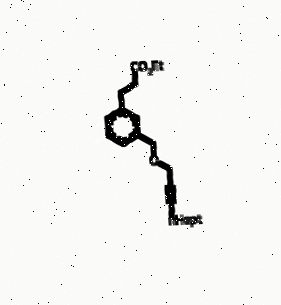 CCCCCCCC#CCOCc1cccc(CCC(=O)OCC)c1